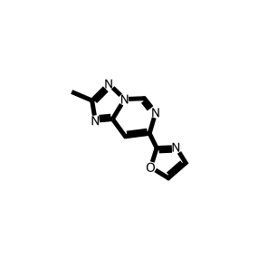 Cc1nc2cc(-c3ncco3)ncn2n1